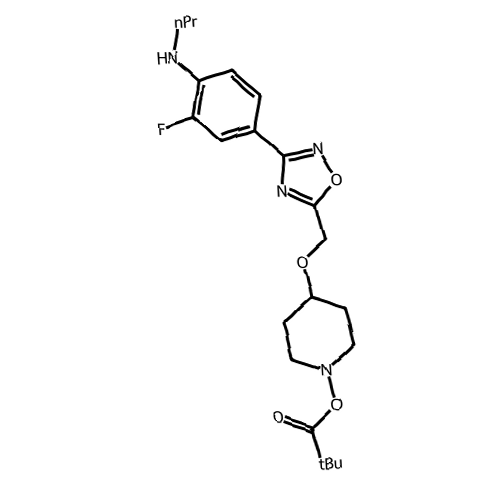 CCCNc1ccc(-c2noc(COC3CCN(OC(=O)C(C)(C)C)CC3)n2)cc1F